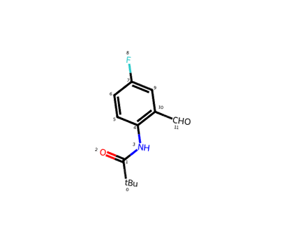 CC(C)(C)C(=O)Nc1ccc(F)cc1C=O